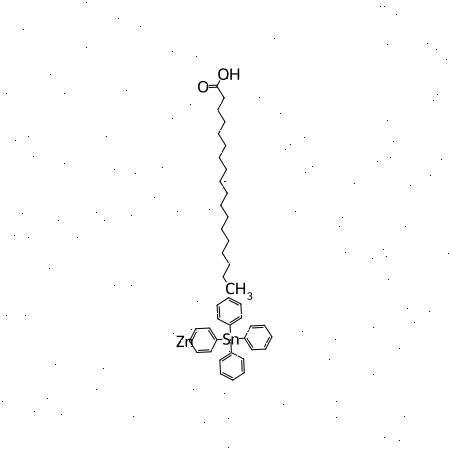 CCCCCCCCCCCCCCCCCC(=O)O.[Zn].c1cc[c]([Sn]([c]2ccccc2)([c]2ccccc2)[c]2ccccc2)cc1